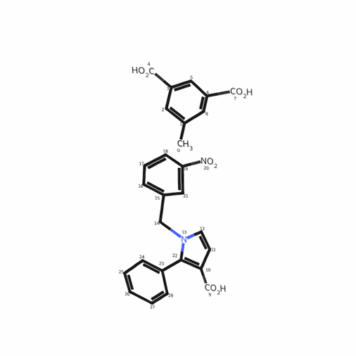 Cc1cc(C(=O)O)cc(C(=O)O)c1.O=C(O)c1ccn(Cc2cccc([N+](=O)[O-])c2)c1-c1ccccc1